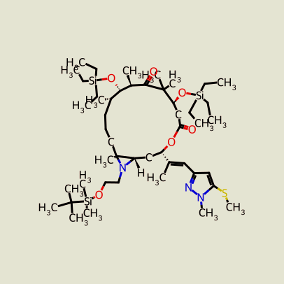 CC[Si](CC)(CC)O[C@H]1[C@@H](C)CCC[C@]2(C)[C@H](C[C@@H](/C(C)=C/c3cc(SC)n(C)n3)OC(=O)C[C@H](O[Si](CC)(CC)CC)C(C)(C)C(=O)[C@@H]1C)N2CCO[Si](C)(C)C(C)(C)C